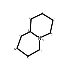 C1CCN2CCCCC2C1